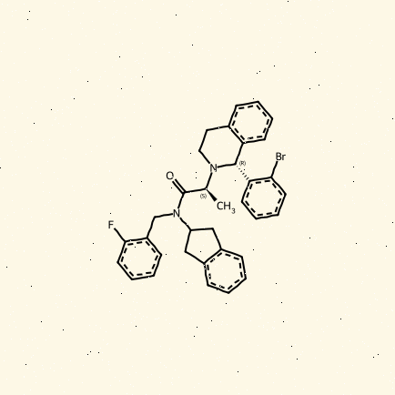 C[C@@H](C(=O)N(Cc1ccccc1F)C1Cc2ccccc2C1)N1CCc2ccccc2[C@@H]1c1ccccc1Br